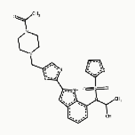 CC(=O)N1CCN(Cc2cnc(-c3cc4cccc(N(C(C)C)S(=O)(=O)c5cccs5)c4[nH]3)s2)CC1